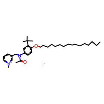 CCCCCCCCCCCCCCCCOc1ccc(N(Cc2ccc[n+](C)c2)C(C)=O)cc1C(C)(C)C.[I-]